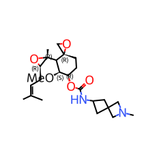 CO[C@H]1C([C@@]2(C)O[C@@H]2CC=C(C)C)[C@]2(CC[C@H]1OC(=O)NC1CC3(C1)CN(C)C3)CO2